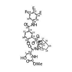 COC(=O)N[C@@H](CO)C(=O)NC[C@]1(O)C2CCC1C[C@@H](S(=O)(=O)c1cc(C(=O)Nc3cc(F)c(F)c(F)c3)ccc1Cl)C2